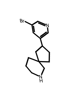 Brc1cncc(C2CCC3(CCCNC3)C2)c1